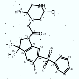 CCCC1CN[C@H](C)CN1CC(=O)N1CC(C)(C)c2cc(F)c(S(=O)(=O)c3ccccc3)cc21